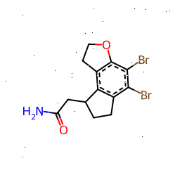 NC(=O)CC1CCc2c(Br)c(Br)c3c(c21)CCO3